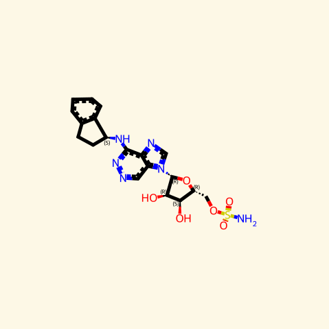 NS(=O)(=O)OC[C@H]1O[C@@H](n2cnc3c(N[C@H]4CCc5ccccc54)nncc32)[C@H](O)[C@@H]1O